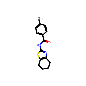 Bc1ccc(C(=O)Nc2nc3c(s2)CCCC3)cc1